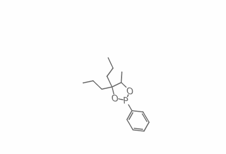 CCCC1(CCC)OP(c2ccccc2)OC1C